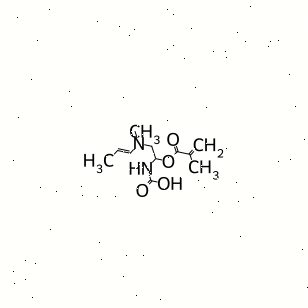 C=C(C)C(=O)OC(CN(C)C=CC)NC(=O)O